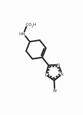 O=C(O)NC1CC=C(c2nnc(Br)s2)CC1